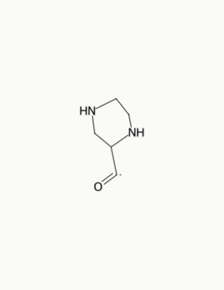 O=[C]C1CNCCN1